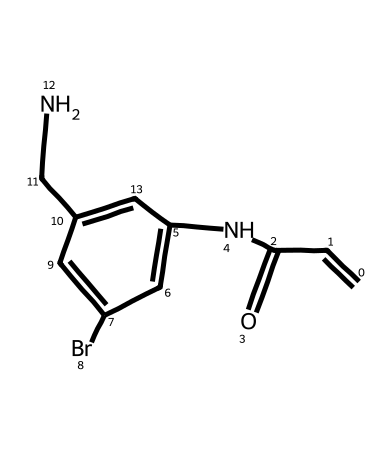 C=CC(=O)Nc1cc(Br)cc(CN)c1